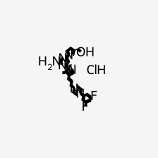 Cc1c(C=CCN2CCN(c3cc(F)cc(F)c3)CC2)cnn1-c1cc(N2CC[C@@H](CO)C2)nc(N)n1.Cl